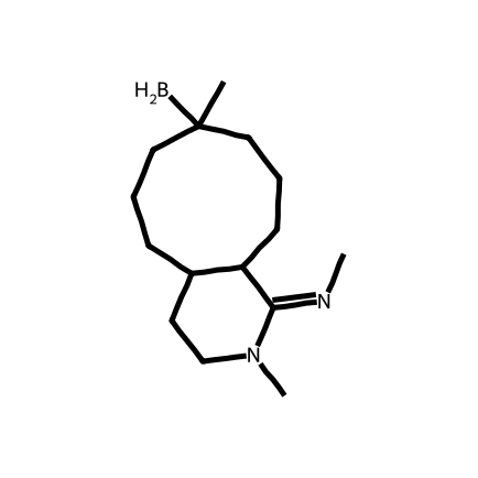 BC1(C)CCCC2CCN(C)/C(=N/C)C2CCC1